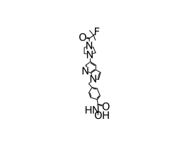 CC(C)(F)C(=O)N1CCN(c2cnc3c(ccn3Cc3ccc(C(=O)NO)cc3)c2)CC1